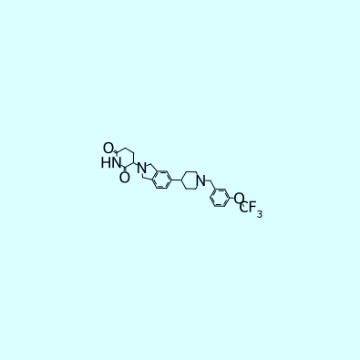 O=C1CCC(N2Cc3ccc(C4CCN(Cc5cccc(OC(F)(F)F)c5)CC4)cc3C2)C(=O)N1